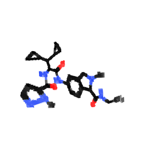 CC(=O)N1Cc2cc(NC(=O)[C@@H](NC(=O)c3ccnn3C(C)C)C(C3CC3)C3CC3)ccc2C1C(=O)NCC(F)(F)F